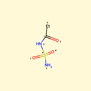 CCC(=O)NS(N)(=O)=O